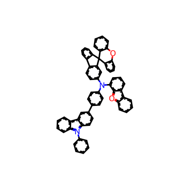 c1ccc(-n2c3ccccc3c3cc(-c4ccc(N(c5ccc6c(c5)C5(c7ccccc7Oc7ccccc75)c5ccccc5-6)c5cccc6c5oc5ccccc56)cc4)ccc32)cc1